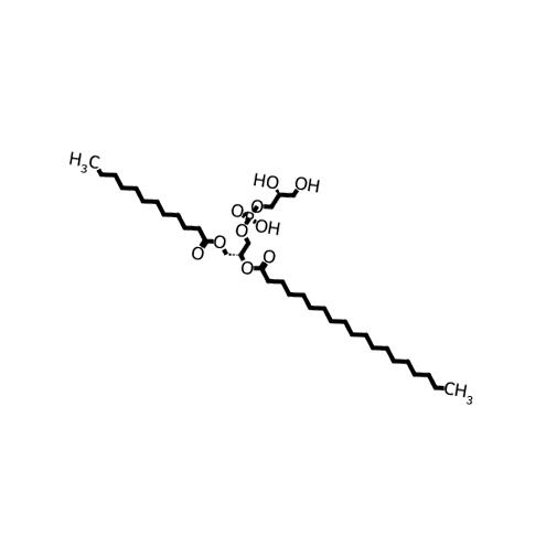 CCCCCCCCCCCCCCCCCCC(=O)O[C@H](COC(=O)CCCCCCCCCCC)COP(=O)(O)OC[C@@H](O)CO